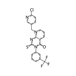 O=c1c2cccn(Cc3ccc(Cl)nc3)c-2nc(=S)n1-c1cccc(C(F)(F)F)c1